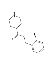 O=C(CCc1ccccc1F)C1CCNCC1